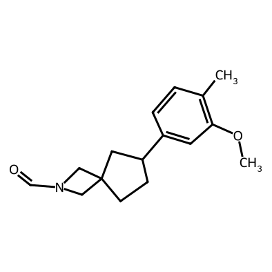 COc1cc(C2CCC3(C2)CN(C=O)C3)ccc1C